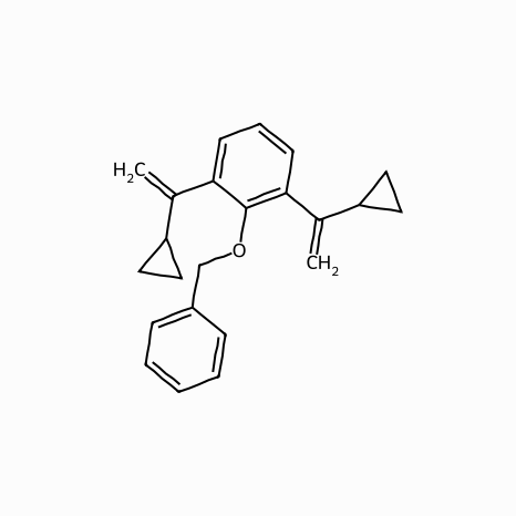 C=C(c1cccc(C(=C)C2CC2)c1OCc1ccccc1)C1CC1